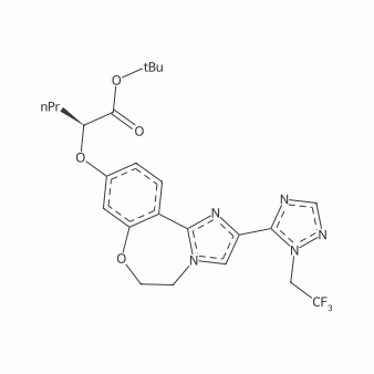 CCC[C@H](Oc1ccc2c(c1)OCCn1cc(-c3ncnn3CC(F)(F)F)nc1-2)C(=O)OC(C)(C)C